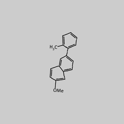 COc1ccc2cc(-c3ccccc3C)ccc2c1